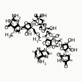 COCC[C@@H]1[C@@H](COP(=O)(O)CP(=O)(O)OP(=O)(O)OC[C@H]2O[C@@H](n3cnc4c(N)ncnc43)[C@H](OC)[C@@H]2P(=O)([O-])OC[C@H]2O[C@@H](n3ccc(=O)[nH]c3=O)[C@H](O)[C@@H]2O)OC(n2c[n+](C)c3c(=O)[nH]c(N)nc32)[C@@H]1O